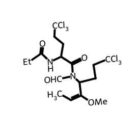 C/C=C(/OC)C(CCC(Cl)(Cl)Cl)N(C=O)C(=O)C(CCC(Cl)(Cl)Cl)NC(=O)CC